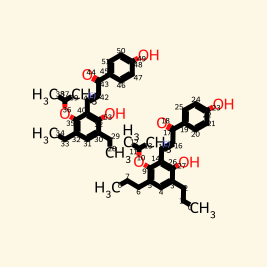 CCCc1cc(CCC)c(OC(C)C)c(/C=C/C(=O)c2ccc(O)cc2)c1O.CCc1cc(CC)c(OC(C)C)c(/C=C/C(=O)c2ccc(O)cc2)c1O